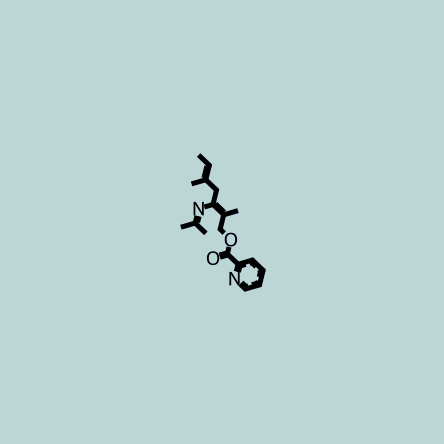 C/C=C(\C)C/C(N=C(C)C)=C(\C)COC(=O)c1ccccn1